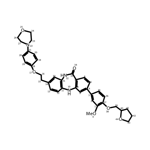 COc1cc(-c2ccc3c(c2)Nc2ccc(CCOc4ccc(N5CCOCC5)cc4)cc2NC3=O)ccc1OCC1CCCO1